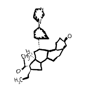 CC[C@@H]1CC2C3CCC4=CC(=O)CCC4=C3[C@@H](c3ccc(-n4ccnc4)cc3)C[C@]2(C)[C@H]1C(C)=O